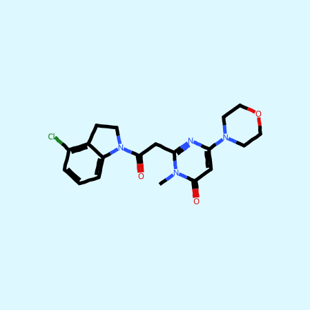 Cn1c(CC(=O)N2CCc3c(Cl)cccc32)nc(N2CCOCC2)cc1=O